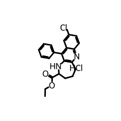 CCOC(=O)C1CCCc2nc3ccc(Cl)cc3c(-c3ccccc3)c2N1.Cl